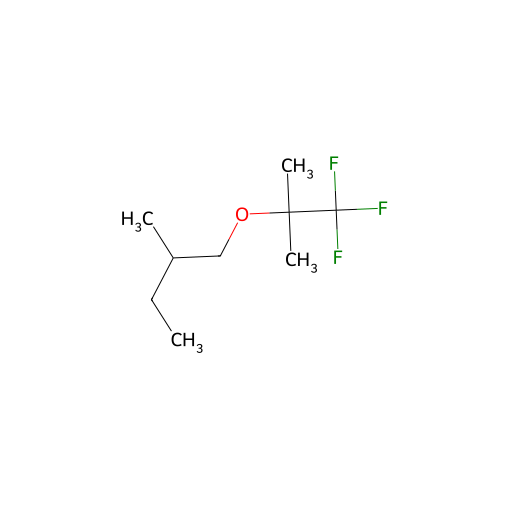 CCC(C)COC(C)(C)C(F)(F)F